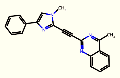 Cc1nc(C#Cc2nc(-c3ccccc3)cn2C)nc2ccccc12